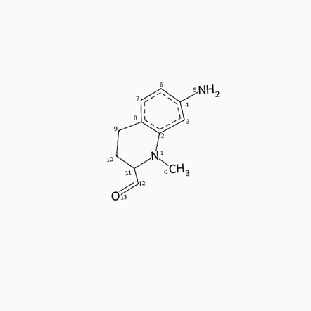 CN1c2cc(N)ccc2CCC1C=O